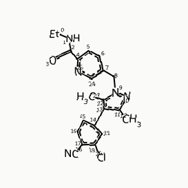 CCNC(=O)c1ccc(Cn2nc(C)c(-c3ccc(C#N)c(Cl)c3)c2C)cn1